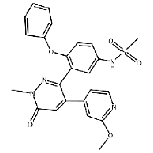 COc1cc(-c2cc(=O)n(C)nc2-c2cc(NS(C)(=O)=O)ccc2Oc2ccccc2)ccn1